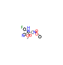 CCOC(=O)c1c(C2CCN(C(=O)OCc3ccccc3)CC2)[nH]c(-c2ccc(F)cc2)c1-c1ccncc1